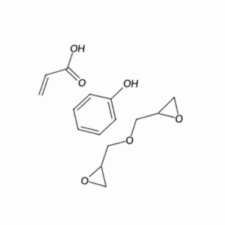 C(OCC1CO1)C1CO1.C=CC(=O)O.Oc1ccccc1